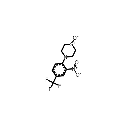 O=[N+]([O-])c1cc(C(F)(F)F)ccc1N1CC[S+]([O-])CC1